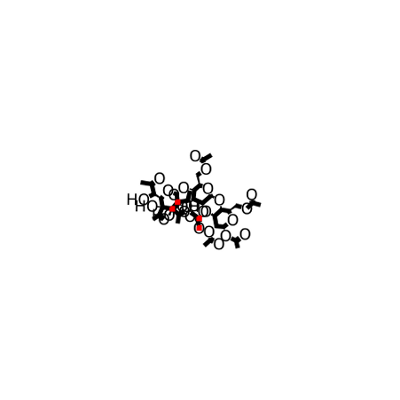 CC(=O)OC[C@H]1O[C@H](OC(C)=O)[C@H](OC(C)=O)[C@@H](OC(C)=O)[C@@H]1O[C@@H]1O[C@H](COC(C)=O)[C@@H](O[C@@H]2O[C@H](C(O)C(C)=O)[C@](O)(C(C)=O)[C@@](O)(C(C)=O)[C@]2(O)C(C)=O)[C@H](OC(C)=O)[C@H]1OC(C)=O